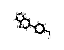 ICc1ccc(-c2c[nH]c3cnnc-3c2)cc1